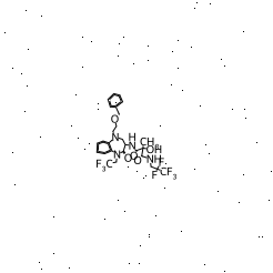 CC(O)(C(=O)NCC(F)(F)C(F)(F)F)C(=O)NC1CN(CCOCc2ccccc2)c2ccccc2N(CC(F)(F)F)C1=O